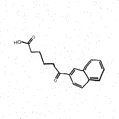 O=C(O)CCCCC(=O)c1ccc2ccccc2c1